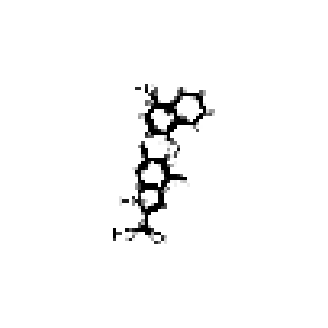 Cc1cc2[nH]c(C(=O)O)cc2c(C)c1Oc1ccc(O)c2c1CCCC2